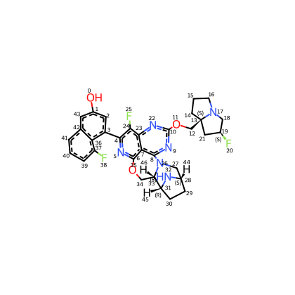 Oc1cc(-c2nc3c4c(nc(OC[C@@]56CCCN5C[C@@H](F)C6)nc4c2F)N2C[C@@H]4CC[C@@H](N4)[C@@H]2CO3)c2c(F)cccc2c1